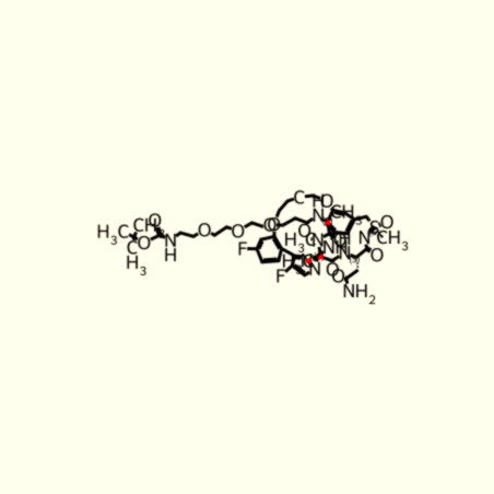 C[C@H](NC(=O)CCOCCOCCOCCNC(=O)OC(C)(C)C)C(=O)N(C)[C@@H](C)C(=O)N[C@@H](CC(N)=O)C(=O)N=[S@@](C)(=O)Cc1cc2cc(c1)OCCCCOc1cc(F)ccc1-c1nc(ncc1F)N2